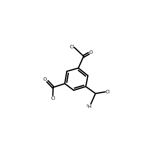 [2H]C(Cl)c1cc(C(=O)Cl)cc(C(=O)Cl)c1